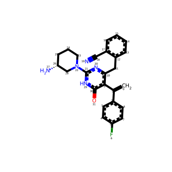 C=C(c1ccc(F)cc1)c1c(Cc2ccccc2C#N)nc(N2CCC[C@@H](N)C2)[nH]c1=O